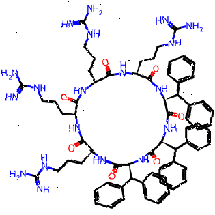 N=C(N)NCCC[C@@H]1NC(=O)[C@H](CCCNC(=N)N)NC(=O)[C@H](CCCNC(=N)N)NC(=O)[C@H](C(c2ccccc2)c2ccccc2)NC(=O)[C@H](C(c2ccccc2)c2ccccc2)NC(=O)[C@H](C(c2ccccc2)c2ccccc2)NC(=O)[C@H](CCCNC(=N)N)NC1=O